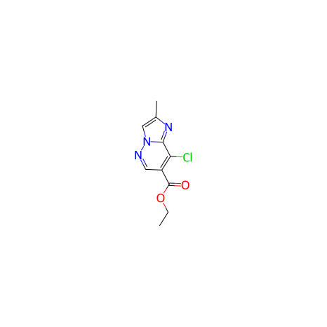 CCOC(=O)c1cnn2cc(C)nc2c1Cl